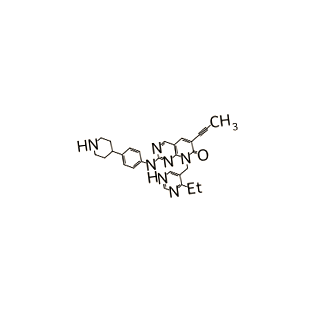 CC#Cc1cc2cnc(Nc3ccc(C4CCNCC4)cc3)nc2n(Cc2cncnc2CC)c1=O